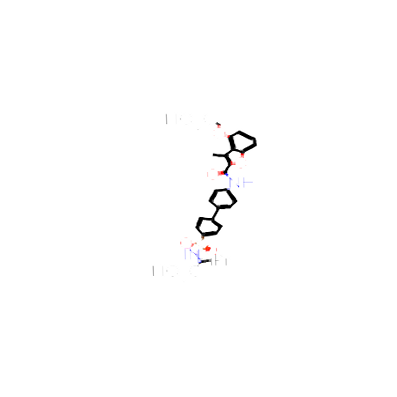 Cc1c(C(=O)Nc2ccc(-c3ccc(S(=O)(=O)N[C@H](C(=O)O)C(C)C)cc3)cc2)oc2cccc(OCC(=O)O)c12